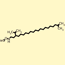 C=C(C)CCCCCCCCCCCCCCCCC(CCNOOC)C(=C)C